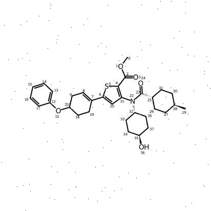 COC(=O)c1sc(C2=CCC(Oc3ccccc3)CC2)cc1N(C(=O)[C@H]1CC[C@H](C)CC1)[C@H]1CC[C@H](O)CC1